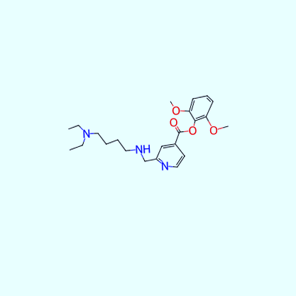 CCN(CC)CCCCNCc1cc(C(=O)Oc2c(OC)cccc2OC)ccn1